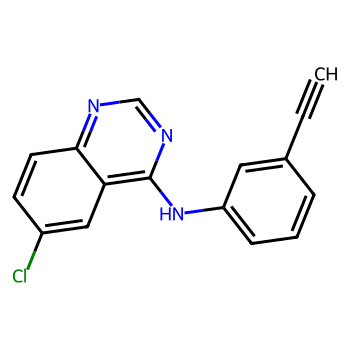 C#Cc1cccc(Nc2ncnc3ccc(Cl)cc23)c1